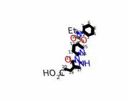 CCN(c1ccccc1)S(=O)(=O)c1ccc(-n2[nH]cc(CCC(=O)O)c2=O)nc1